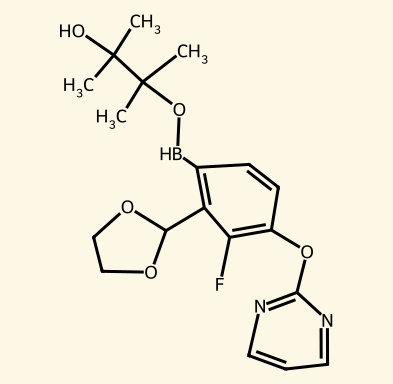 CC(C)(O)C(C)(C)OBc1ccc(Oc2ncccn2)c(F)c1C1OCCO1